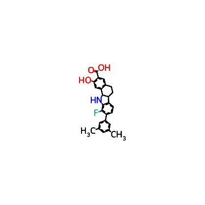 Cc1cc(C)cc(-c2ccc3c(c2F)NC2c4cc(O)c(C(=O)O)cc4CCC32)c1